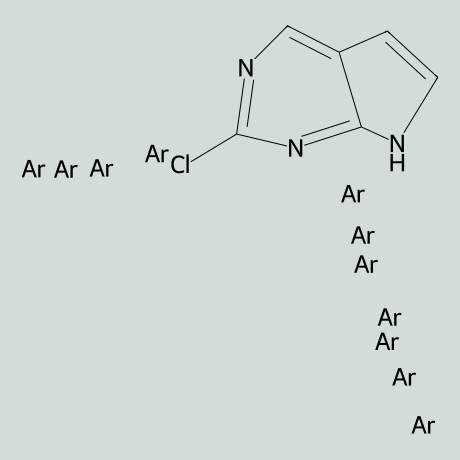 Clc1ncc2cc[nH]c2n1.[Ar].[Ar].[Ar].[Ar].[Ar].[Ar].[Ar].[Ar].[Ar].[Ar].[Ar]